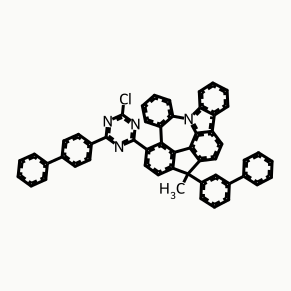 CC1(c2cccc(-c3ccccc3)c2)c2ccc(-c3nc(Cl)nc(-c4ccc(-c5ccccc5)cc4)n3)c3c2-c2c1ccc1c4ccccc4n(c21)-c1ccccc1-3